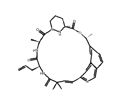 C=CC[C@@H]1NC(=C)C(C)(C)/C=C/c2cc3cc(ccc3cn2)[C@@H](C)OC(=O)[C@@H]2CCCN(N2)C(=O)[C@H](C)NC1=O